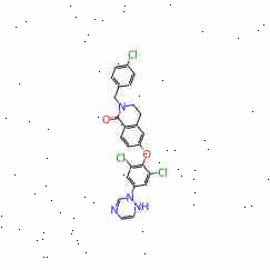 O=C1c2ccc(Oc3c(Cl)cc(N4C=NC=CN4)cc3Cl)cc2CCN1Cc1ccc(Cl)cc1